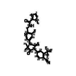 Cn1ccnc1C(=O)NCc1ncc(N2C(=S)N(c3ccc(C#N)c(C(F)(F)F)c3)C(=O)C2(C)C)cc1F